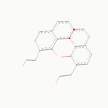 OCCc1ccc2ccccc2c1Oc1c(CCO)ccc2ccccc12